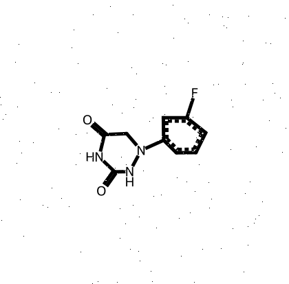 O=C1CN(c2cccc(F)c2)NC(=O)N1